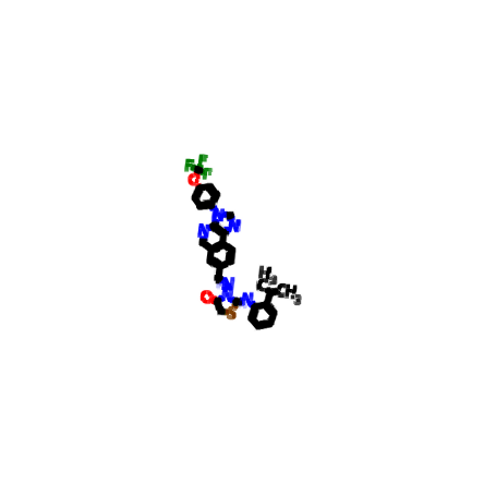 CC(C)c1ccccc1/N=C1\SCC(=O)N1/N=C/c1ccc2c(cnc3c2ncn3-c2ccc(OC(F)(F)F)cc2)c1